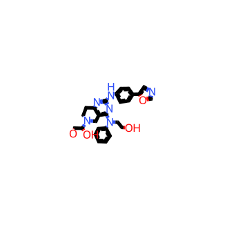 O=CC(O)N1CCc2nc(Nc3ccc(-c4cnco4)cc3)nc(N(CCO)c3ccccc3)c2C1